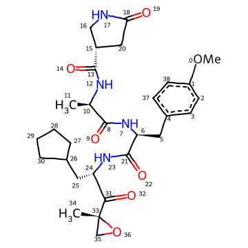 COc1ccc(C[C@H](NC(=O)[C@@H](C)NC(=O)[C@@H]2CNC(=O)C2)C(=O)N[C@@H](CC2CCCC2)C(=O)[C@@]2(C)CO2)cc1